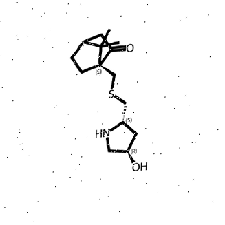 CC1(C)C2CC[C@@]1(CSC[C@@H]1C[C@@H](O)CN1)C(=O)C2